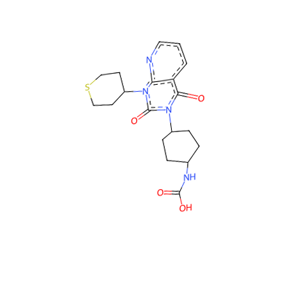 O=C(O)NC1CCC(n2c(=O)c3cccnc3n(C3CCSCC3)c2=O)CC1